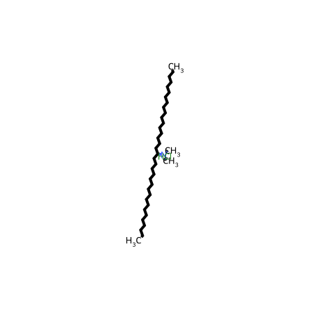 CCCCCCCCCCCCCCCCCC(CCCCCCCCCCCCCCCCC)N(C)C.Cl